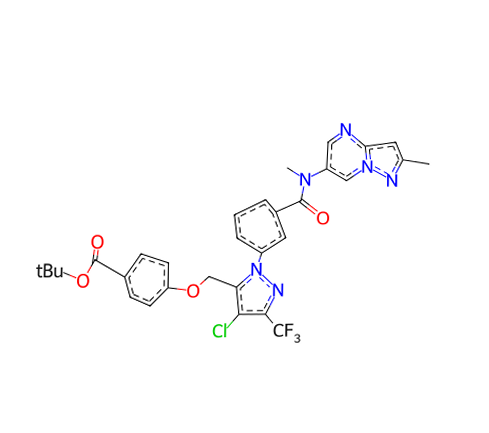 Cc1cc2ncc(N(C)C(=O)c3cccc(-n4nc(C(F)(F)F)c(Cl)c4COc4ccc(C(=O)OC(C)(C)C)cc4)c3)cn2n1